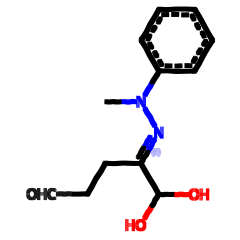 CN(/N=C(\CCC=O)C(O)O)c1ccccc1